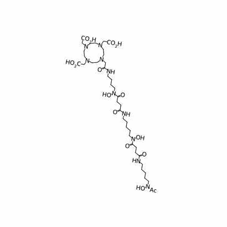 CC(=O)N(O)CCCCCNC(=O)CCC(=O)N(O)CCCCCNC(=O)CCC(=O)N(O)CCCCNC(=O)CN1CCN(CC(=O)O)CCN(CC(=O)O)CCN(CC(=O)O)CC1